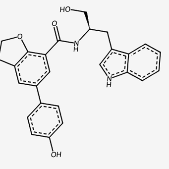 O=C(N[C@@H](CO)Cc1c[nH]c2ccccc12)c1cc(-c2ccc(O)cc2)cc2c1OCC2